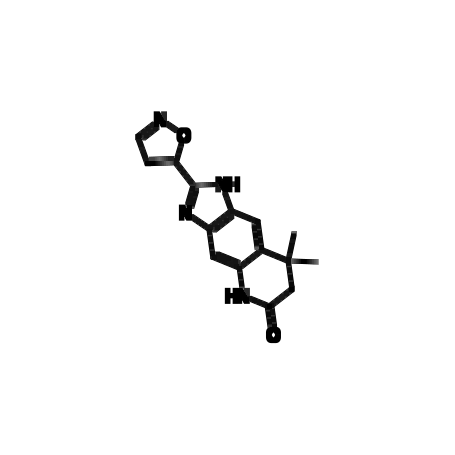 CC1(C)CC(=O)Nc2cc3nc(-c4ccno4)[nH]c3cc21